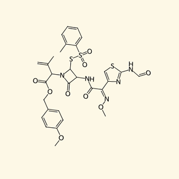 C=C(C)C(C(=O)OCc1ccc(OC)cc1)N1C(=O)C(NC(=O)/C(=N\OC)c2csc(NC=O)n2)C1SS(=O)(=O)c1ccccc1C